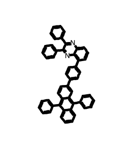 c1ccc(-c2nc3cccc(-c4ccc(-c5ccc6c(-c7ccccc7)c7ccccc7c(-c7ccccc7)c6c5)cc4)c3nc2-c2ccccc2)cc1